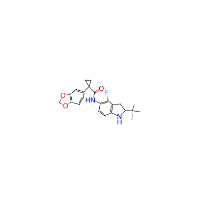 CC(C)(C)C1Cc2c(ccc(NC(=O)C3(c4ccc5c(c4)OCO5)CC3)c2F)N1